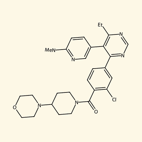 CCc1ncnc(-c2ccc(C(=O)N3CCC(N4CCOCC4)CC3)c(Cl)c2)c1-c1ccc(NC)nc1